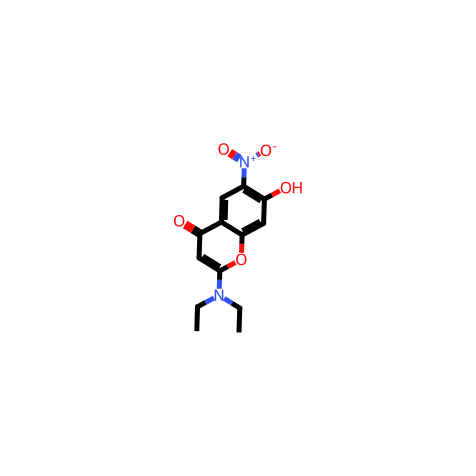 CCN(CC)c1cc(=O)c2cc([N+](=O)[O-])c(O)cc2o1